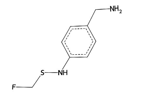 NCc1ccc(NSCF)cc1